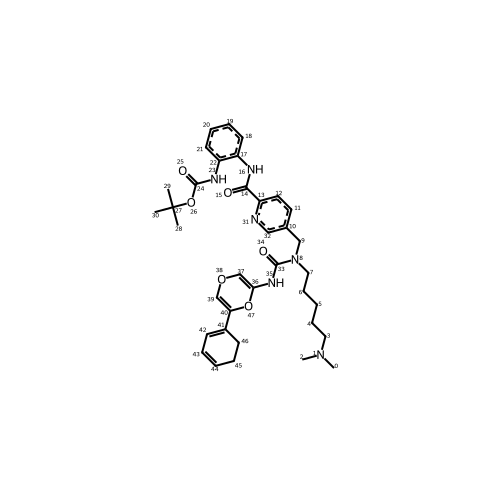 CN(C)CCCCCN(Cc1ccc(C(=O)Nc2ccccc2NC(=O)OC(C)(C)C)nc1)C(=O)NC1=COC=C(C2=CC=CCC2)O1